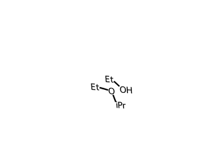 CCO.CCOC(C)C